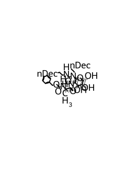 CCCCCCCCCCCCNC(=O)N(CCCCCCCCCCCC)[C@@H]1O[C@H](CO)[C@@H](O)[C@H](O)[C@H]1NC(=O)[C@H](C)NC(=O)OCc1ccccc1